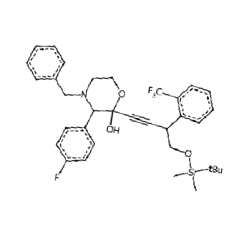 CC(C)(C)[Si](C)(C)OCC(C#CC1(O)OCCN(Cc2ccccc2)C1c1ccc(F)cc1)c1ccccc1C(F)(F)F